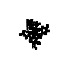 CN(C(=O)[C@H](CC1CC1)NC(=O)C(F)(F)F)[C@@H](CC1CC1)C(=O)N1C[C@@]2(C[C@H]1C(N)=O)Oc1ccc(F)cc1NC2=O